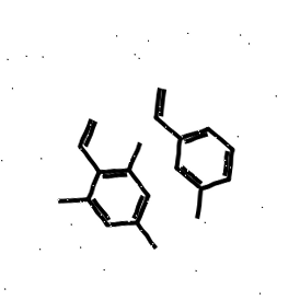 C=Cc1c(C)cc(C)cc1C.C=Cc1cccc(C)c1